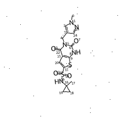 Cn1cc(Cn2c(=O)[nH]c3sc(S(=O)(=O)NC4(C)CC4)cc3c2=O)cn1